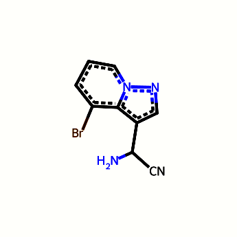 N#CC(N)c1cnn2cccc(Br)c12